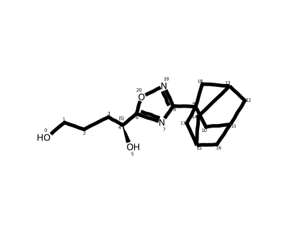 OCCC[C@H](O)c1nc(C23CC4CC(CC(C4)C2)C3)no1